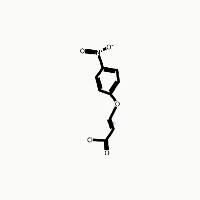 O=C(Cl)/C=C/Oc1ccc([N+](=O)[O-])cc1